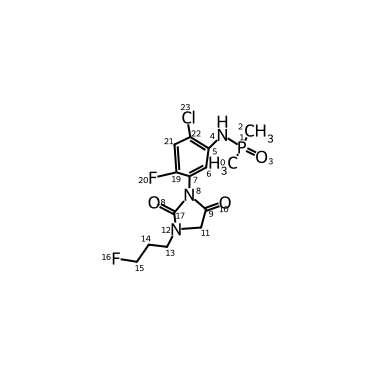 CP(C)(=O)Nc1cc(N2C(=O)CN(CCCF)C2=O)c(F)cc1Cl